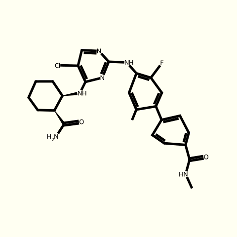 CNC(=O)c1ccc(-c2cc(F)c(Nc3ncc(Cl)c(N[C@@H]4CCCC[C@@H]4C(N)=O)n3)cc2C)cc1